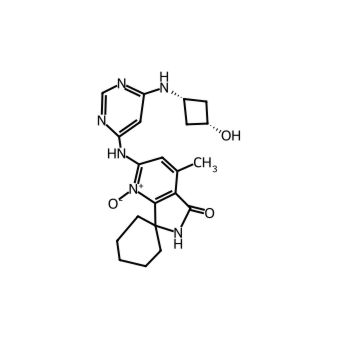 Cc1cc(Nc2cc(N[C@H]3C[C@@H](O)C3)ncn2)[n+]([O-])c2c1C(=O)NC21CCCCC1